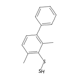 Cc1ccc(-c2ccccc2)c(C)c1SS